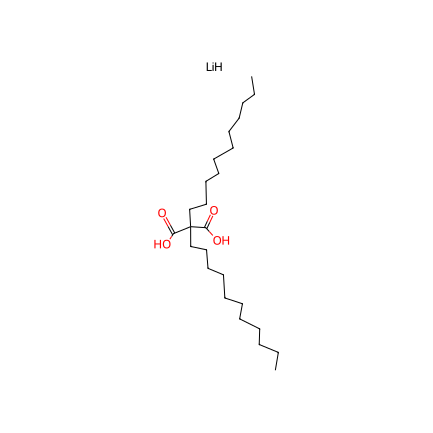 CCCCCCCCCCCC(CCCCCCCCCCC)(C(=O)O)C(=O)O.[LiH]